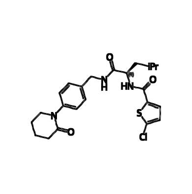 CC(C)C[C@@H](NC(=O)c1ccc(Cl)s1)C(=O)NCc1ccc(N2CCCCC2=O)cc1